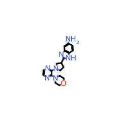 Nc1ccc2[nH]c(C3CCN(c4nccnc4N4CCOCC4)C3)nc2c1